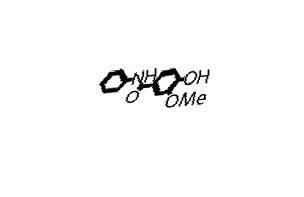 COc1cc(C(=O)Nc2ccccc2)ccc1O